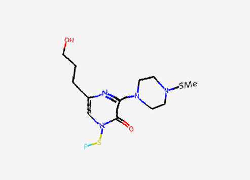 CSN1CCN(c2nc(CCCO)cn(SF)c2=O)CC1